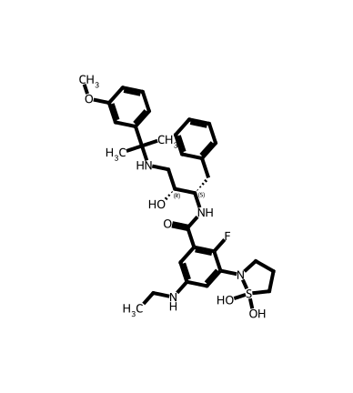 CCNc1cc(C(=O)N[C@@H](Cc2ccccc2)[C@H](O)CNC(C)(C)c2cccc(OC)c2)c(F)c(N2CCCS2(O)O)c1